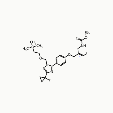 CC(C)(C)OC(=O)NC/C(=C\F)COc1ccc(-c2nc(C3(F)CC3)nn2COCC[Si](C)(C)C)cc1